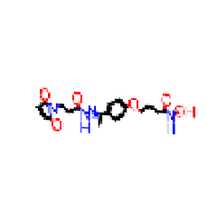 C/C(=N\NC(=O)CCN1C(=O)C=CC1=O)c1ccc(OCCCC(=O)NO)cc1